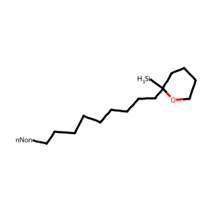 CCCCCCCCCCCCCCCCCCC1([SiH3])CCCCO1